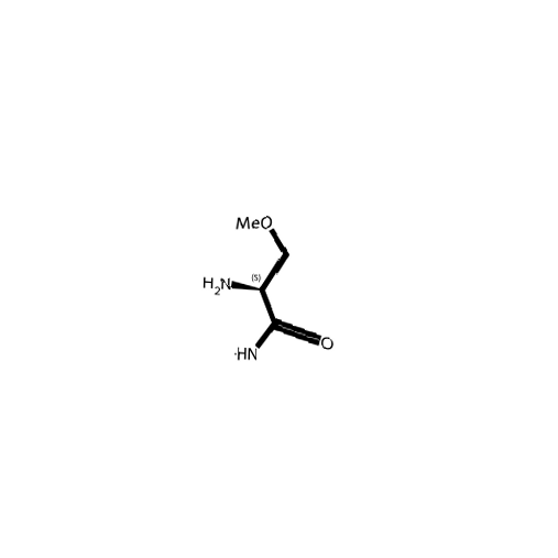 COC[C@H](N)C([NH])=O